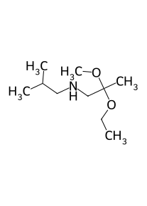 CCOC(C)(CNCC(C)C)OC